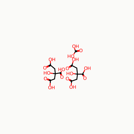 O=C(O)CC(O)(CC(=O)O)C(=O)O.O=C(O)CC(O)(CC(=O)O)C(=O)O.O=C(O)O